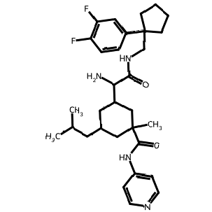 CC(C)CC1CC(C(N)C(=O)NCC2(c3ccc(F)c(F)c3)CCCC2)CC(C)(C(=O)Nc2ccncc2)C1